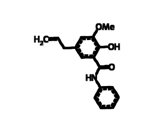 C=CCc1cc(OC)c(O)c(C(=O)Nc2ccccc2)c1